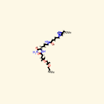 CNCCOC(C)(C)COC(C)(C)CCC(=O)N[C@@H](CCCCNC(=O)CCCCn1cc(COC)nn1)C(N)=O